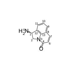 N[C@@H]1Cn2c(=O)ccc3cccc1c32